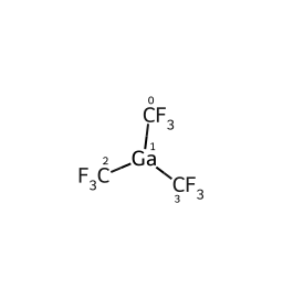 F[C](F)(F)[Ga]([C](F)(F)F)[C](F)(F)F